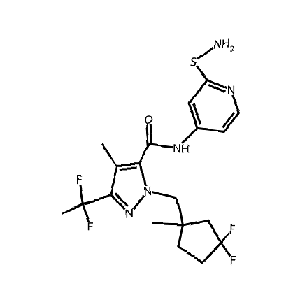 Cc1c(C(C)(F)F)nn(CC2(C)CCC(F)(F)C2)c1C(=O)Nc1ccnc(SN)c1